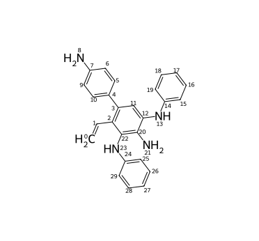 C=Cc1c(-c2ccc(N)cc2)cc(Nc2ccccc2)c(N)c1Nc1ccccc1